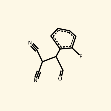 N#CC(C#N)C(C=O)c1ccccc1F